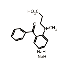 CN(CCC(=O)O)c1ccccc1C(=O)c1ccccc1.[NaH].[NaH]